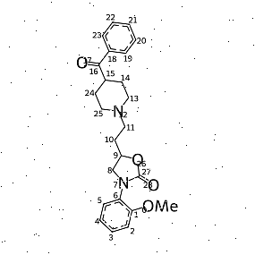 COc1ccccc1N1CC(CCN2CCC(C(=O)c3ccccc3)CC2)OC1=O